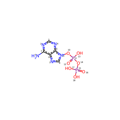 Nc1ncnc2c1ncn2OP(=O)(O)OP(=O)(O)O